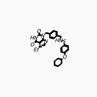 CCn1cnc2c1c(=O)[nH]c(=O)n2Cc1ccc(CNSc2ccc(OC3CCCCC3)cc2)cc1